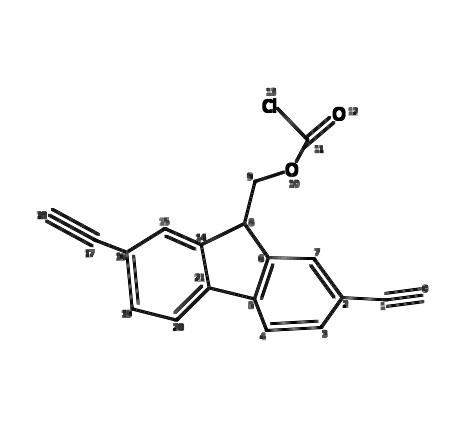 C#Cc1ccc2c(c1)C(COC(=O)Cl)c1cc(C#C)ccc1-2